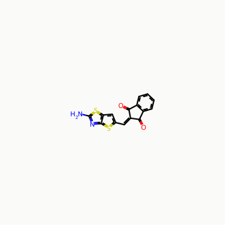 Nc1nc2sc(C=C3C(=O)c4ccccc4C3=O)cc2s1